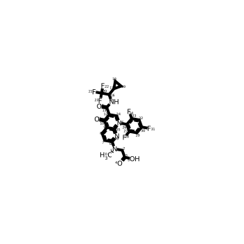 CN(CC(=O)O)c1ccc2c(=O)c(C(=O)NC(C3CC3)C(F)(F)F)cn(-c3c(F)cc(F)cc3F)c2n1